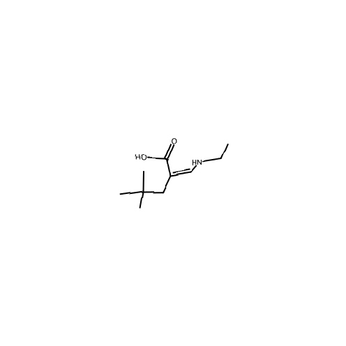 CCNC=C(CC(C)(C)C)C(=O)O